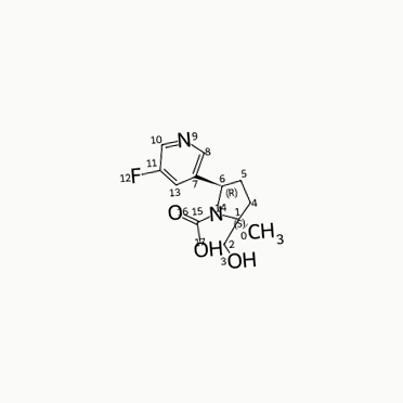 C[C@@]1(CO)CC[C@H](c2cncc(F)c2)N1C(=O)O